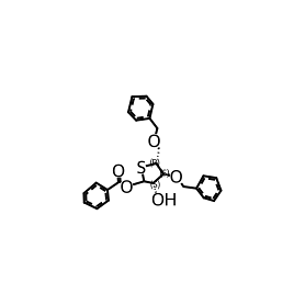 O=C(OC1S[C@H](COCc2ccccc2)[C@@H](OCc2ccccc2)[C@@H]1O)c1ccccc1